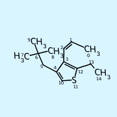 C/C=C\c1c(CC(C)(C)C)csc1CC